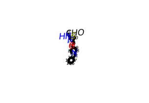 O=CNc1nc(COC2CCN(CC3CCCCC3)CC2)cs1